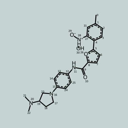 Cc1ccc(-c2ccc(C(=O)Nc3ccc(N4CCC(N(C)C)C4)cc3)o2)c([NH+]([O-])O)c1